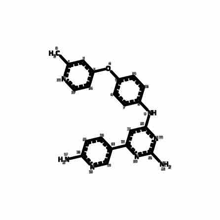 Cc1cc(Oc2ccc(Nc3cc(-c4ccc(N)nc4)nc(N)n3)cc2)ccn1